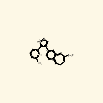 Cc1cccc(-c2[nH]ncc2-c2ccc3c(c2)=CC(C(=O)O)=CCC=3)n1